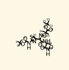 CC(C)(C)OC(=O)Nc1nc(/C(=N/OC(C)(C)C(=O)OC(C)(C)C)C(=O)N[C@H]2CONC2=O)cs1